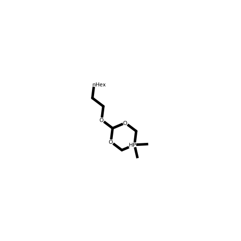 CCCCCCCCOC1OC[PH](C)(C)CO1